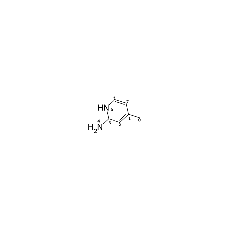 CC1=CC(N)NC=C1